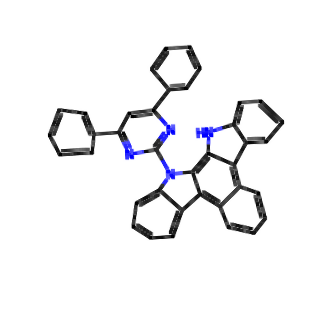 c1ccc(-c2cc(-c3ccccc3)nc(-n3c4ccccc4c4c5ccccc5c5c6ccccc6[nH]c5c43)n2)cc1